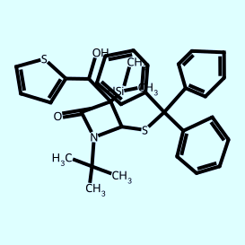 C[SiH](C)C1(C(O)c2cccs2)C(=O)N(C(C)(C)C)C1SC(c1ccccc1)(c1ccccc1)c1ccccc1